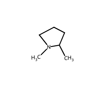 CC1CCCN1C